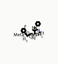 C=C(NCC1(C(F)(F)F)CC(C)(c2cc(F)ccc2OC)O1)c1cnn(-c2ccccc2)c1/N=C(\N)CC